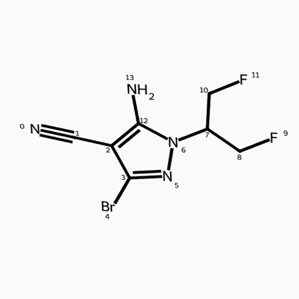 N#Cc1c(Br)nn(C(CF)CF)c1N